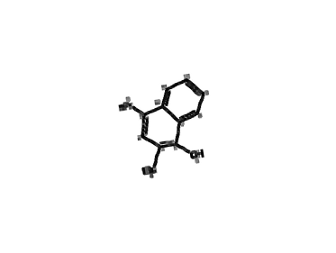 CCCc1cc(C(C)(C)C)c(O)c2ccccc12